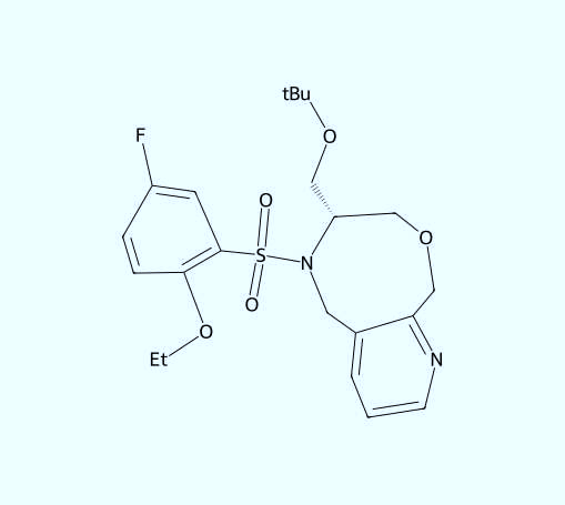 CCOc1ccc(F)cc1S(=O)(=O)N1Cc2cccnc2COC[C@H]1COC(C)(C)C